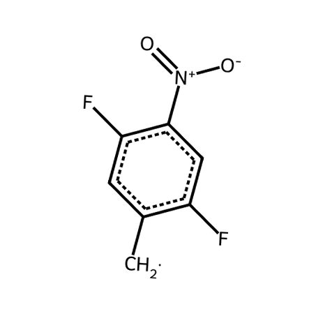 [CH2]c1cc(F)c([N+](=O)[O-])cc1F